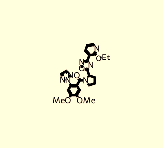 CCOc1ncccc1-c1noc(C2CCCN2C(=O)c2cc(OC)c(OC)cc2-n2nccn2)n1